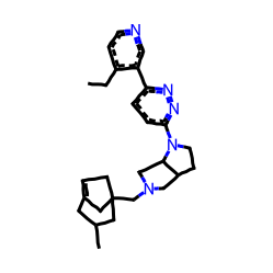 CCc1ccncc1-c1ccc(N2CCC3CN(CC45CC=C(CC(C)C4)C5)CC32)nn1